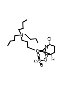 CCCC[N+](CCCC)(CCCC)CCCC.O=C1N2C[C@@H](CC[C@H]2Cl)N1OS(=O)(=O)[O-]